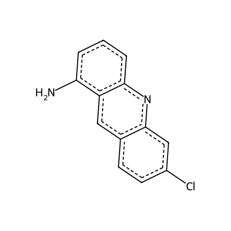 Nc1cccc2nc3cc(Cl)ccc3cc12